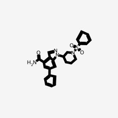 NC(=O)c1cc(-c2ccccc2)cc2c1cnn2C1CCCN(S(=O)(=O)c2ccccc2)C1